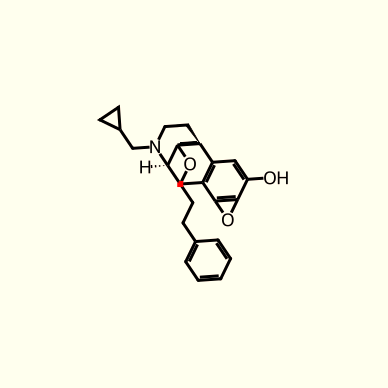 Oc1cc2c(c3c1O3)C[C@H]1N(CC3CC3)CC[C@@]23CCCCC13OCCCc1ccccc1